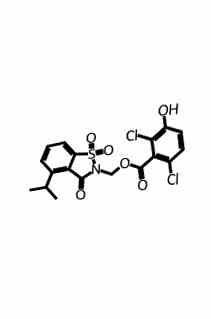 CC(C)c1cccc2c1C(=O)N(COC(=O)c1c(Cl)ccc(O)c1Cl)S2(=O)=O